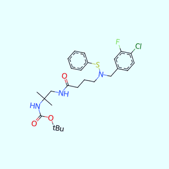 CC(C)(CNC(=O)CCCN(Cc1ccc(Cl)c(F)c1)Sc1ccccc1)NC(=O)OC(C)(C)C